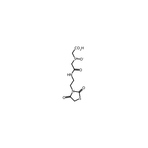 O=C(O)C[S+]([O-])CC(=O)NCCN1C(=O)CSC1=O